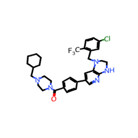 O=C(c1ccc(-c2cnc3c(c2)N(Cc2cc(Cl)ccc2C(F)(F)F)CCN3)cc1)N1CCN(CC2CCCCC2)CC1